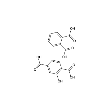 O=C(O)c1ccc(C(=O)O)c(O)c1.O=C(O)c1ccccc1C(=O)O